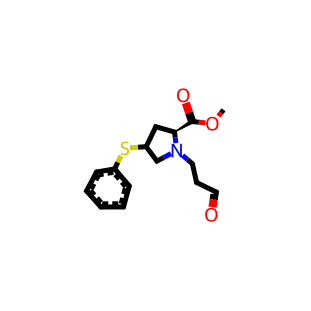 COC(=O)[C@@H]1CC(Sc2ccccc2)CN1CCC=O